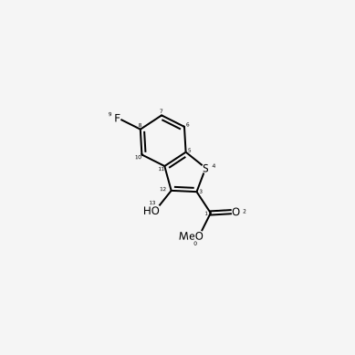 COC(=O)c1sc2ccc(F)cc2c1O